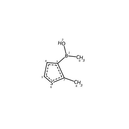 CB(O)c1ccsc1C